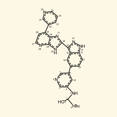 CCCCC(O)Nc1cncc(-c2ccc3[nH]nc(-c4nc5c(-c6cccnc6)ccnc5[nH]4)c3c2)c1